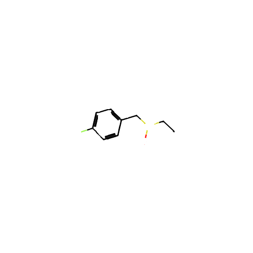 [CH2]C[S+]([O-])Cc1ccc(F)cc1